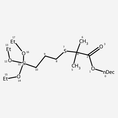 CCCCCCCCCCOC(=O)C(C)(C)SCCC[Si](OCC)(OCC)OCC